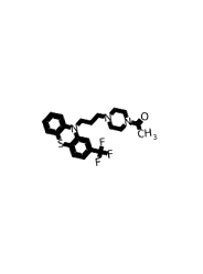 CC(=O)N1CCN(CCCN2c3ccccc3Sc3ccc(C(F)(F)F)cc32)CC1